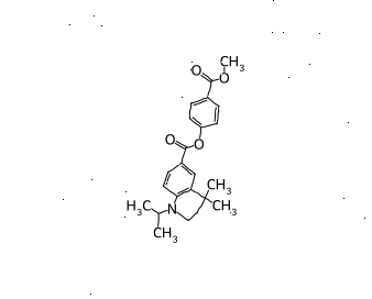 COC(=O)c1ccc(OC(=O)c2ccc3c(c2)C(C)(C)CCN3C(C)C)cc1